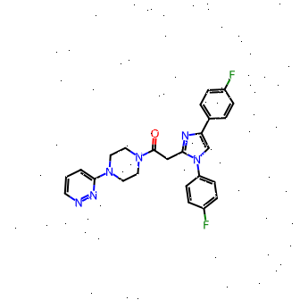 O=C(Cc1nc(-c2ccc(F)cc2)cn1-c1ccc(F)cc1)N1CCN(c2cccnn2)CC1